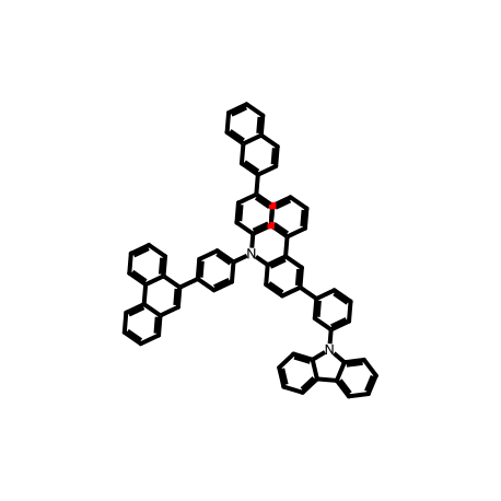 c1ccc(-c2cc(-c3cccc(-n4c5ccccc5c5ccccc54)c3)ccc2N(c2ccc(-c3ccc4ccccc4c3)cc2)c2ccc(-c3cc4ccccc4c4ccccc34)cc2)cc1